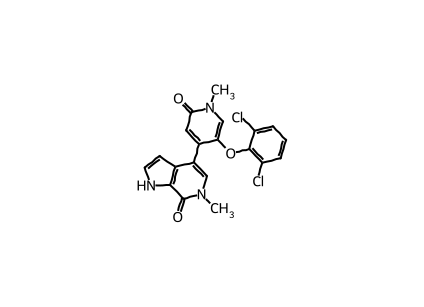 Cn1cc(Oc2c(Cl)cccc2Cl)c(-c2cn(C)c(=O)c3[nH]ccc23)cc1=O